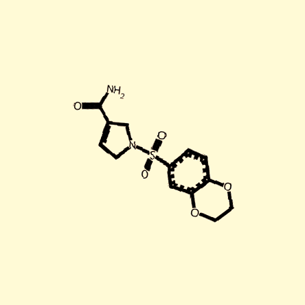 NC(=O)C1=CCN(S(=O)(=O)c2ccc3c(c2)OCCO3)C1